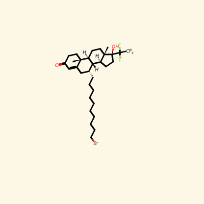 C[C@]12CCC(=O)C=C1C[C@@H](CCCCCCCCCCBr)[C@@H]1[C@@H]2CC[C@@]2(C)[C@H]1CC[C@@]2(O)C(F)(F)C(F)(F)F